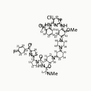 CN[C@@H](C)C(=O)N[C@H](C(=O)N1CCC[C@H]1C1=NC(C(=O)c2ccc(F)cc2)CS1)C1CCN(C2CCCC(N3CCN(c4cc(OC)c(Nc5ncc(Cl)c(Nc6ccccc6P(C)(C)=O)n5)cc4C)CC3)C2)CC1